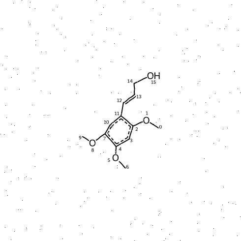 COc1cc(OC)c(OC)cc1/C=C/CO